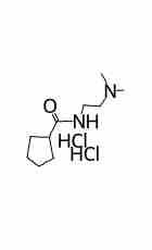 CN(C)CCNC(=O)C1CCCC1.Cl.Cl